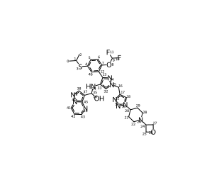 CC(C)Sc1ccc(OC(F)F)c(-c2nn(Cc3cn(C4CCN(C5COC5)CC4)nn3)cc2NC(O)c2cnn3cccnc23)c1